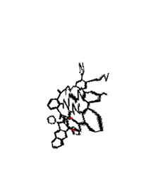 Cc1cc(C)cc(-c2cccc(-c3cc(C)cc(C)c3)c2N2/C(=C/C=C3C(=O)c4cc5ccccc5cc4C3=O)N(c3c(C(C)C)cccc3C(C)C)c3nc4cc(C#N)c(C#N)cc4nc32)c1